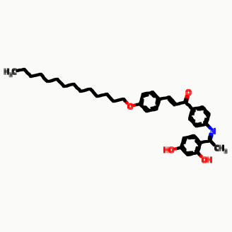 CCCCCCCCCCCCCCOc1ccc(C=CC(=O)c2ccc(N=C(C)c3ccc(O)cc3O)cc2)cc1